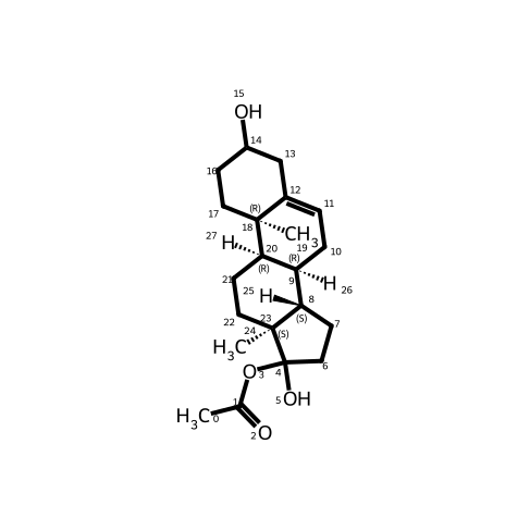 CC(=O)OC1(O)CC[C@H]2[C@@H]3CC=C4CC(O)CC[C@]4(C)[C@@H]3CC[C@@]21C